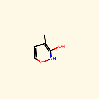 CC1=C(O)NOC=C1